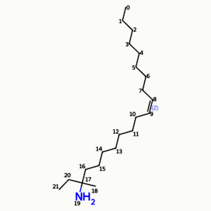 CCCCCCCC/C=C\CCCCCCCC(C)(N)CC